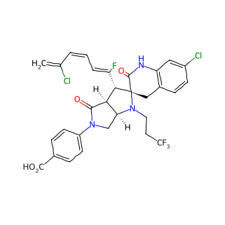 C=C(Cl)/C=C\C=C(/F)[C@H]1[C@@H]2C(=O)N(c3ccc(C(=O)O)cc3)C[C@@H]2N(CCC(F)(F)F)[C@]12Cc1ccc(Cl)cc1NC2=O